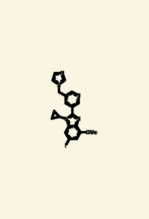 COc1cc(I)cc2c1nc(-c1cncc(Cn3ccnc3)c1)n2C1CC1